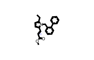 CCc1ccc(/C=C/C(=O)OC)n1Cc1ccccc1-c1ccccc1